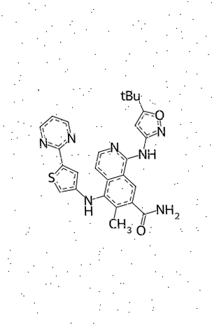 Cc1c(C(N)=O)cc2c(Nc3cc(C(C)(C)C)on3)nccc2c1Nc1csc(-c2ncccn2)c1